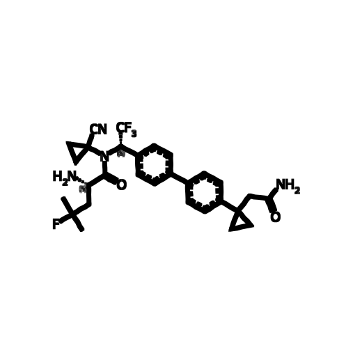 CC(C)(F)C[C@H](N)C(=O)N([C@@H](c1ccc(-c2ccc(C3(CC(N)=O)CC3)cc2)cc1)C(F)(F)F)C1(C#N)CC1